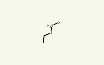 CCO[NH2+][O-]